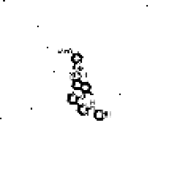 COc1cccc(CS(=O)(=O)Nc2c(F)ccc3c(Oc4ncccc4-c4ccnc(N[C@H]5CCCNC5)n4)c(C)ccc23)c1